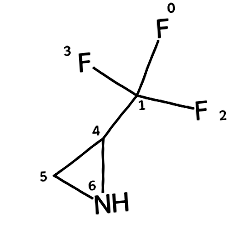 FC(F)(F)C1CN1